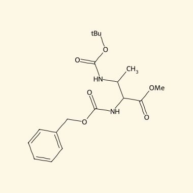 COC(=O)C(NC(=O)OCc1ccccc1)C(C)NC(=O)OC(C)(C)C